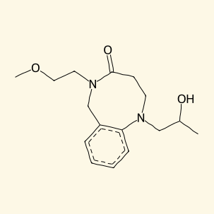 COCCN1Cc2ccccc2N(CC(C)O)CCC1=O